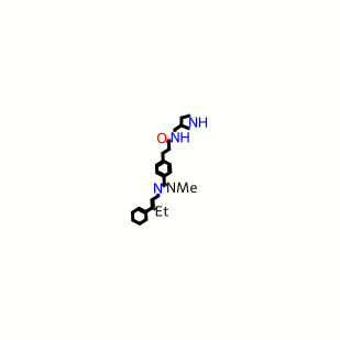 CC/C(=C\C/N=C(\NC)c1ccc(CCC(=O)NCC2CCNC2)cc1)C1=CCCCC1